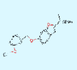 CCOc1cccc(COc2ccc3cc(C(C)NC(C)=O)oc3c2)c1